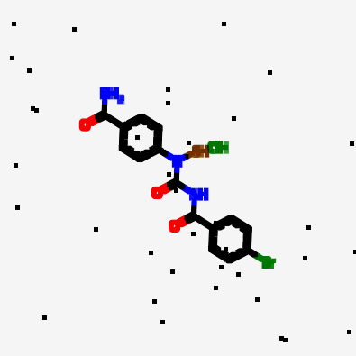 Cl.NC(=O)c1ccc(N(S)C(=O)NC(=O)c2ccc(Br)cc2)cc1